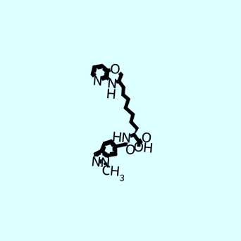 Cn1ncc2ccc(C(=O)N[C@@H](CCCCCCCC3COc4cccnc4N3)C(=O)O)cc21